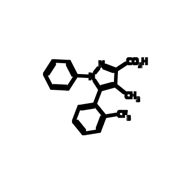 Cc1c(C(=O)O)nn(-c2ccccc2)c1-c1ccccc1C(F)(F)F